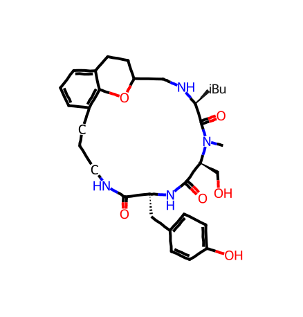 CCC(C)[C@@H]1NCC2CCc3cccc(c3O2)CCCNC(=O)[C@@H](Cc2ccc(O)cc2)NC(=O)[C@H](CO)N(C)C1=O